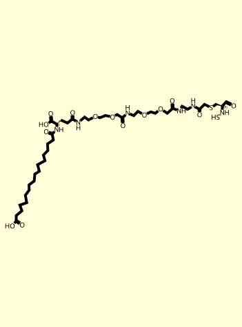 O=C[C@H](CSCC(=O)NCCNC(=O)COCCOCCNC(=O)COCCOCCNC(=O)CC[C@H](NC(=O)CCCCCCCCCCCCCCCCC(=O)O)C(=O)O)NS